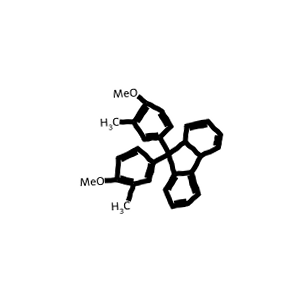 COc1ccc(C2(c3ccc(OC)c(C)c3)c3ccccc3C3C=CC=CC32)cc1C